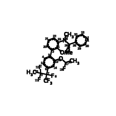 COc1c(-c2ccc(C(F)(C(C)(F)F)C(F)(F)F)cc2OC(C)F)cccc1N(C)C(=O)c1ccncc1